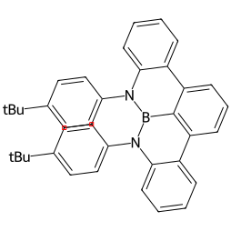 CC(C)(C)c1ccc(N2B3c4c(cccc4-c4ccccc4N3c3ccc(C(C)(C)C)cc3)-c3ccccc32)cc1